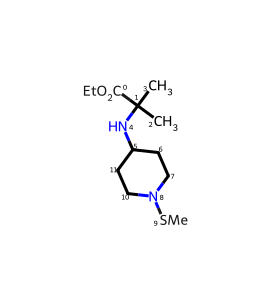 CCOC(=O)C(C)(C)NC1CCN(SC)CC1